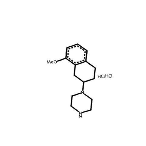 COc1cccc2c1CC(N1CCNCC1)CC2.Cl.Cl